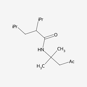 CC(=O)CC(C)(C)NC(=O)C(CC(C)C)C(C)C